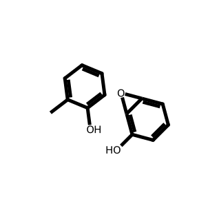 Cc1ccccc1O.Oc1cccc2c1O2